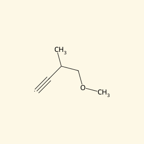 [C]#CC(C)COC